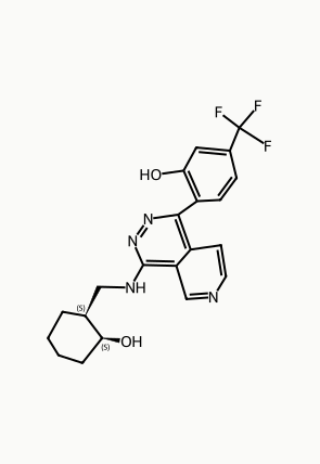 Oc1cc(C(F)(F)F)ccc1-c1nnc(NC[C@@H]2CCCC[C@@H]2O)c2cnccc12